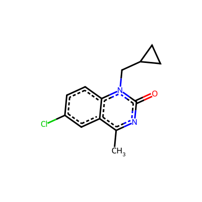 Cc1nc(=O)n(CC2CC2)c2ccc(Cl)cc12